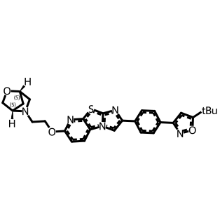 CC(C)(C)c1cc(-c2ccc(-c3cn4c(n3)sc3nc(OCCN5C[C@@H]6C[C@H]5CO6)ccc34)cc2)no1